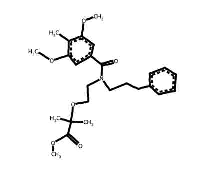 COC(=O)C(C)(C)OCCN(CCCc1ccccc1)C(=O)c1cc(OC)c(C)c(OC)c1